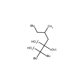 CCCCCCCCC(CC(C)CC(C)(C)C)(C(=O)O)C(C(=O)O)(C(C)CC)C(C)CC